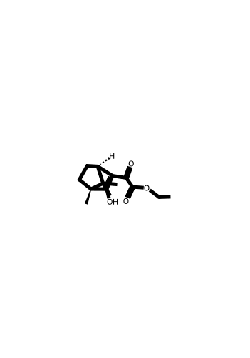 CCOC(=O)C(=O)C1=C(O)[C@]2(C)CC[C@@H]1C2(C)C